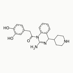 NC1=NC(C2CCNCC2)c2ccccc2N1C(=O)Cc1ccc(O)c(O)c1